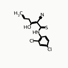 C=CCC(O)=C(C#N)C(=S)Nc1ccc(Cl)cc1Cl